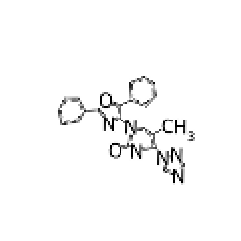 Cc1cn(-c2nc(-c3ccccc3)oc2-c2ccccc2)c(=O)nc1-n1cncn1